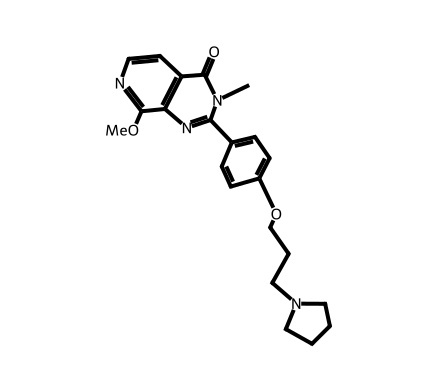 COc1nccc2c(=O)n(C)c(-c3ccc(OCCCN4CCCC4)cc3)nc12